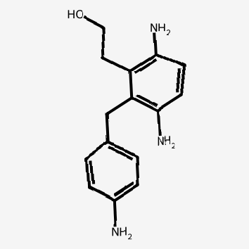 Nc1ccc(Cc2c(N)ccc(N)c2CCO)cc1